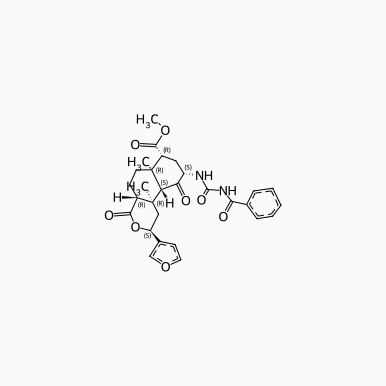 COC(=O)[C@@H]1C[C@H](NC(=O)NC(=O)c2ccccc2)C(=O)[C@H]2[C@@]1(C)CC[C@H]1C(=O)O[C@H](c3ccoc3)C[C@]21C